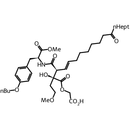 CCCCCCCC(=O)CCCCCC/C=C/[C@H](C(=O)N[C@@H](Cc1ccc(OCCCC)cc1)C(=O)OC)[C@@](O)(CCOC)C(=O)OCC(=O)O